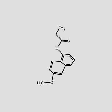 CCC(=O)Oc1cccc2cc(OC)ccc12